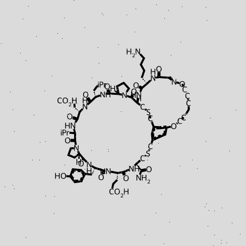 CC(C)C[C@@H]1NC(=O)[C@@H]2CCCN2C(=O)[C@@H]2CSCc3cc(cc(c3)OCCCCCCO/N=C/C(=O)N[C@@H](CCCCN)C(=O)N2)CSC[C@@H](C(N)=O)NC(=O)[C@H](CCC(=O)O)NC(=O)[C@H](Cc2ccc(O)cc2)NC(=O)[C@@H]2CCCN2C(=O)C(C(C)C)NC(=O)[C@H](CC(=O)O)NC1=O